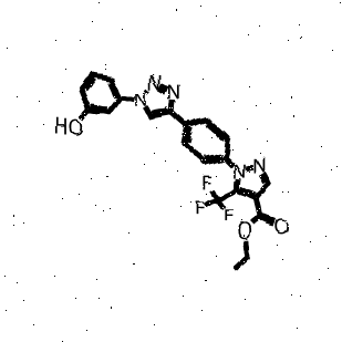 CCOC(=O)c1cnn(-c2ccc(-c3cn(-c4cccc(O)c4)nn3)cc2)c1C(F)(F)F